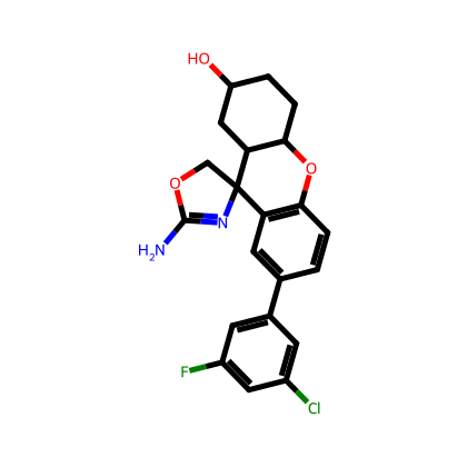 NC1=NC2(CO1)c1cc(-c3cc(F)cc(Cl)c3)ccc1OC1CCC(O)CC12